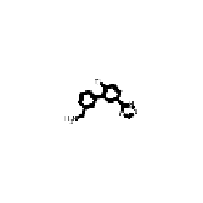 NCc1cccc(-c2cc(-c3nnco3)ccc2Cl)c1